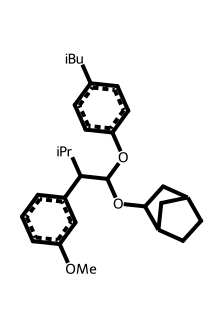 CCC(C)c1ccc(OC(OC2CC3CCC2C3)C(c2cccc(OC)c2)C(C)C)cc1